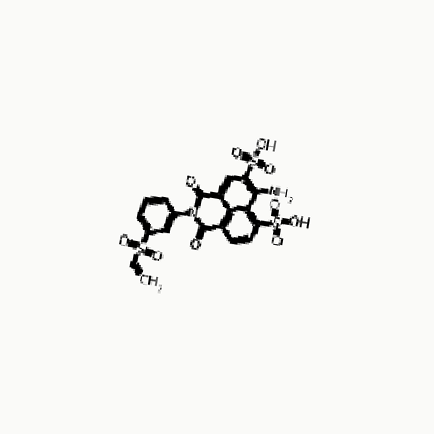 C=CS(=O)(=O)c1cccc(N2C(=O)c3ccc(S(=O)(=O)O)c4c(N)c(S(=O)(=O)O)cc(c34)C2=O)c1